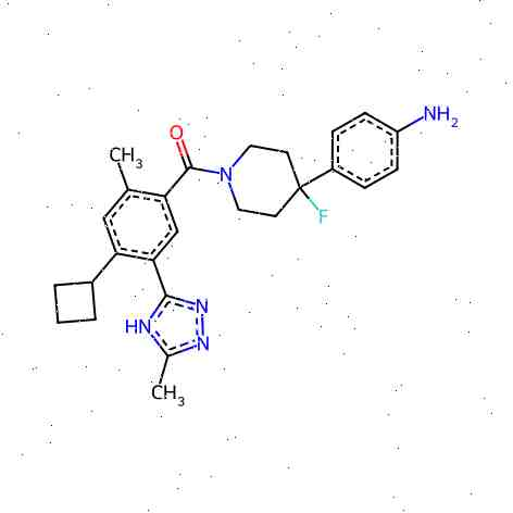 Cc1nnc(-c2cc(C(=O)N3CCC(F)(c4ccc(N)cc4)CC3)c(C)cc2C2CCC2)[nH]1